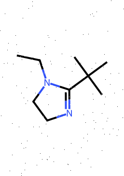 CCN1CCN=C1C(C)(C)C